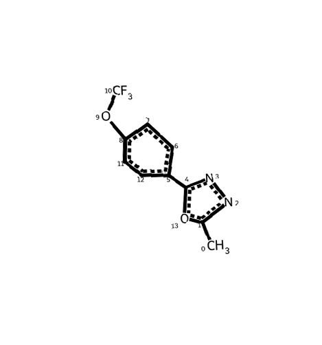 Cc1nnc(-c2ccc(OC(F)(F)F)cc2)o1